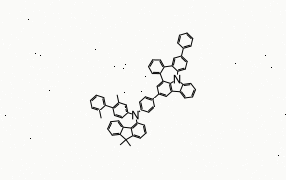 Cc1ccccc1-c1ccc(N(c2ccc(-c3cc4c5c(c3)c3ccccc3n5-c3ccc(-c5ccccc5)cc3-c3ccccc3-4)cc2)c2cccc3c2-c2ccccc2C3(C)C)cc1C